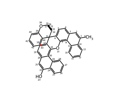 Cc1cc2ccc3c(c2c2ccccc12)Oc1c(ccc2cc(O)c4ccccc4c12)C31c2ccccc2Oc2ccccc21